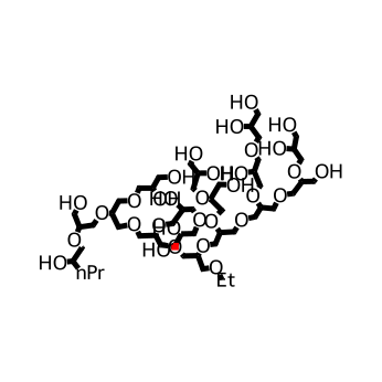 CCCC(O)COC(CO)COC(COCC(O)CO)COCC(COCC(COCC)OCC(COCC(COCC(CO)OCC(O)CO)OCC(O)COCC(O)CO)OCC(CO)OCC(O)CO)OCC(O)COCC(O)CO